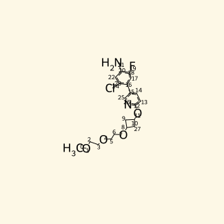 COCCOCCOC1CC(Oc2ccc(-c3cc(F)c(N)cc3Cl)cn2)C1